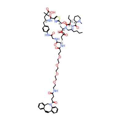 CCCCCCN(C(=O)[C@@H](NC(=O)[C@H]1CCCCN1C)[C@@H](C)CC)[C@H](C[C@@H](OCC)c1nc(C(=O)N[C@@H](Cc2ccc(NC(=O)CNC(=O)[C@H](CCC(=O)O)NC(=O)CCOCCOCCOCCOCCNC(=O)CCC(=O)N3Cc4ccccc4C#Cc4ccccc43)cc2)CC(C)(C)C(=O)O)cs1)C(C)C